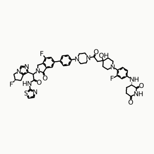 O=C1CC[C@H](Nc2ccc(N3CCC(O)(CC(=O)N4CCN(c5ccc(-c6cc(F)c7c(c6)C(=O)N(C(C(=O)Nc6nccs6)c6ncn8c6C[C@@H](F)C8)C7)cc5)CC4)CC3)c(F)c2)C(=O)N1